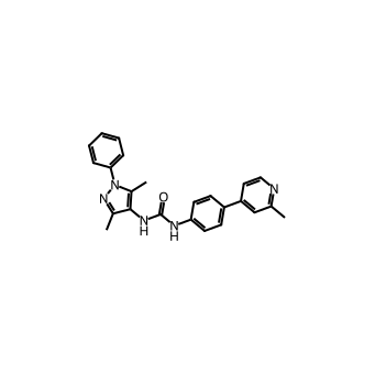 Cc1cc(-c2ccc(NC(=O)Nc3c(C)nn(-c4ccccc4)c3C)cc2)ccn1